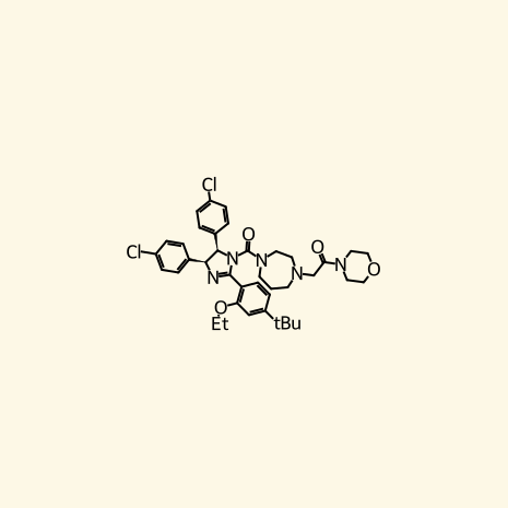 CCOc1cc(C(C)(C)C)ccc1C1=N[C@@H](c2ccc(Cl)cc2)[C@@H](c2ccc(Cl)cc2)N1C(=O)N1CCCN(CC(=O)N2CCOCC2)CC1